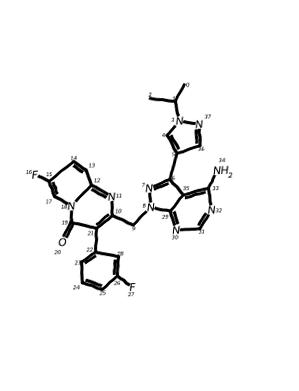 CC(C)n1cc(-c2nn(Cc3nc4ccc(F)cn4c(=O)c3-c3cccc(F)c3)c3ncnc(N)c23)cn1